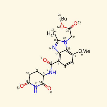 COc1ccc(C(=O)NC2CCC(=O)NC2=O)c2nc(C)n(CC(=O)OC(C)(C)C)c12